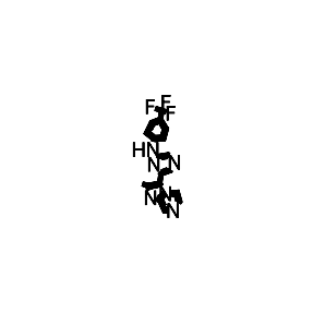 Cc1nc2cnccn2c1-c1cncc(Nc2ccc(C(F)(F)F)cc2)n1